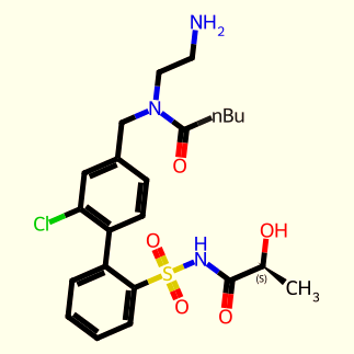 CCCCC(=O)N(CCN)Cc1ccc(-c2ccccc2S(=O)(=O)NC(=O)[C@H](C)O)c(Cl)c1